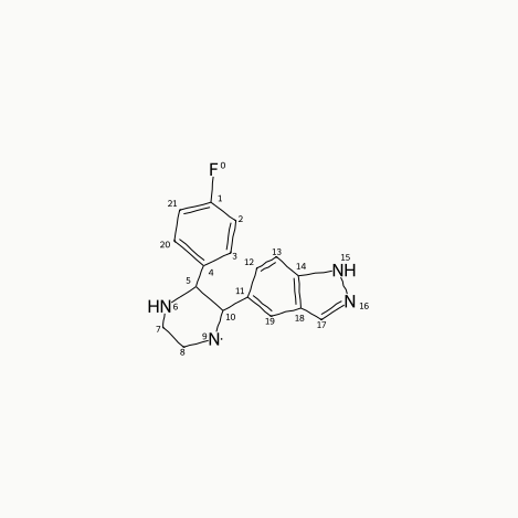 Fc1ccc(C2NCC[N]C2c2ccc3[nH]ncc3c2)cc1